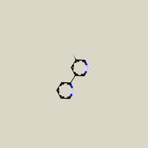 Fc1cncc(-c2ccccn2)c1